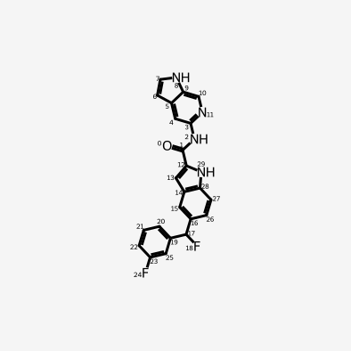 O=C(Nc1cc2cc[nH]c2cn1)c1cc2cc(C(F)c3cccc(F)c3)ccc2[nH]1